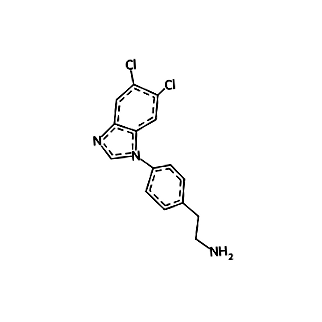 NCCc1ccc(-n2cnc3cc(Cl)c(Cl)cc32)cc1